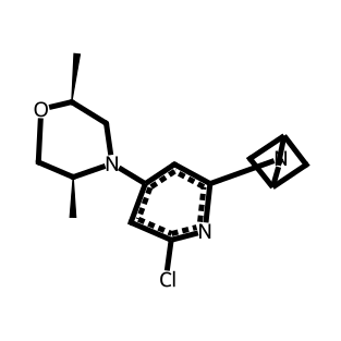 C[C@H]1CN(c2cc(Cl)nc(N3CC4CC3C4)c2)[C@@H](C)CO1